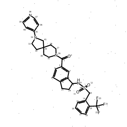 O=C(c1ccc2c(c1)C(NS(=O)(=O)Cc1ccccc1C(F)(F)F)CC2)N1CCC2(CC1)CCN(c1ccncc1)C2